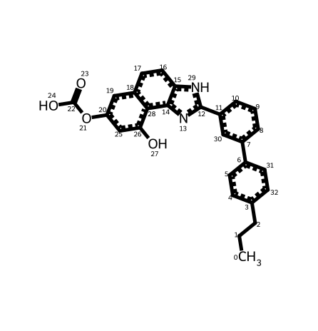 CCCc1ccc(-c2cccc(-c3nc4c(ccc5cc(OC(=O)O)cc(O)c54)[nH]3)c2)cc1